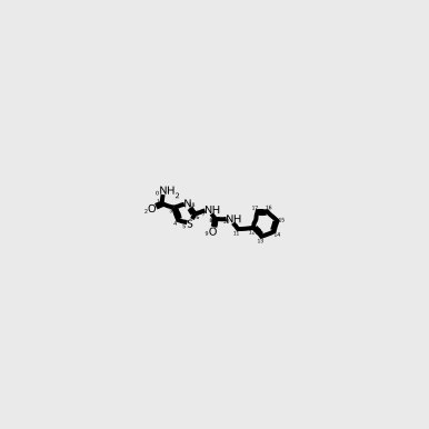 NC(=O)c1csc(NC(=O)NCc2ccccc2)n1